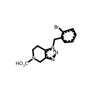 O=C(O)N1CCc2c(nnn2Cc2ccccc2Br)C1